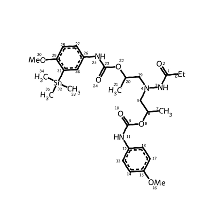 CCC(=O)NN(CC(C)OC(=O)Nc1ccc(OC)cc1)CC(C)OC(=O)Nc1ccc(OC)[c]([Sn]([CH3])([CH3])[CH3])c1